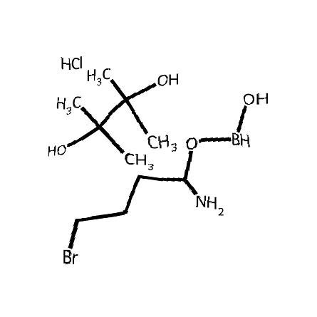 CC(C)(O)C(C)(C)O.Cl.NC(CCCBr)OBO